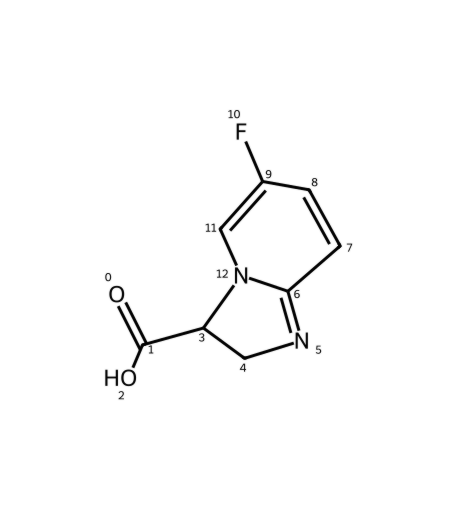 O=C(O)C1CN=C2C=CC(F)=CN21